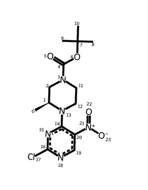 C[C@H]1CN(C(=O)OC(C)(C)C)CCN1c1nc(Cl)ncc1[N+](=O)[O-]